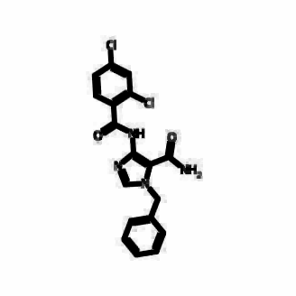 NC(=O)c1c(NC(=O)c2ccc(Cl)cc2Cl)ncn1Cc1ccccc1